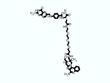 CCCCc1nc2c(N)nc3ccccc3c2n1CC(C)(C)CNC(=O)CCOCCOCCOCCNC(=O)CC[C@H](NC(=O)c1ccc(NCc2cnc3nc(C)[nH]c(=O)c3n2)cc1)C(=O)O